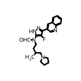 CC(CCN(C=O)c1[nH]nc(-c2cnc3ccccc3c2)c1F)CN1CCCC1